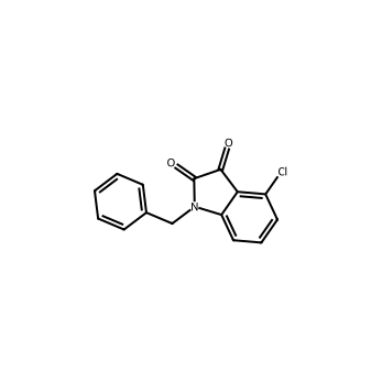 O=C1C(=O)N(Cc2ccccc2)c2cccc(Cl)c21